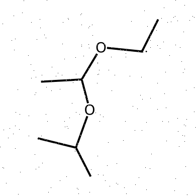 C[CH]OC(C)OC(C)C